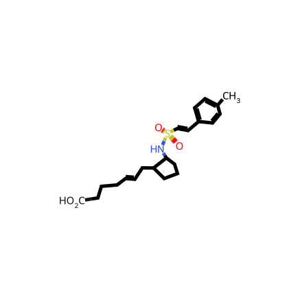 Cc1ccc(/C=C/S(=O)(=O)NC2CCCC2C/C=C/CCCC(=O)O)cc1